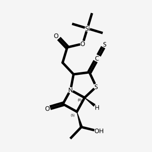 CC(O)[C@H]1C(=O)N2C(CC(=O)O[Si](C)(C)C)C(=C=S)S[C@H]12